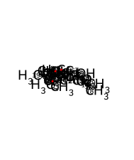 C=CCC1[C@@]2(C)CC[C@H](O)[C@](C)(COC(=O)C=C(C)C)C2CC[C@@]1(C)[C@@]1(C)CC2CC(C)(C)[C@@H](OC(=O)C=C(C)C)[C@H](O)[C@]2(CO)[C@H](O)C1